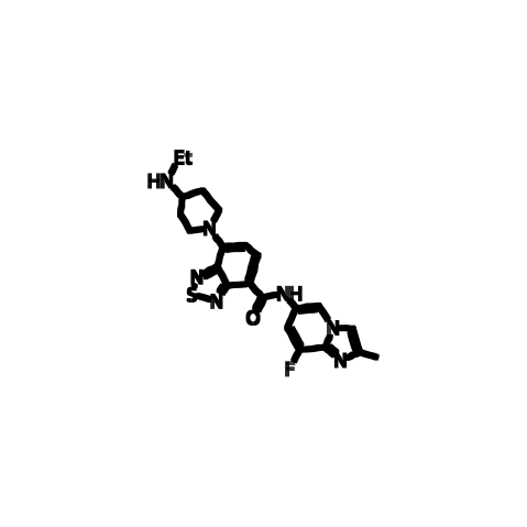 CCNC1CCN(c2ccc(C(=O)Nc3cc(F)c4nc(C)cn4c3)c3nsnc23)CC1